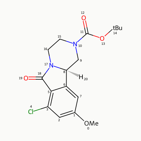 COc1cc(Cl)c2c(c1)[C@@H]1CN(C(=O)OC(C)(C)C)CCN1C2=O